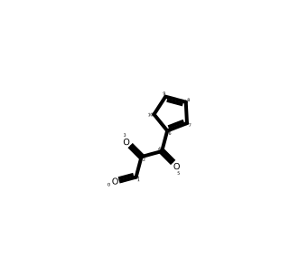 O=[C]C(=O)C(=O)C1=CC=CC1